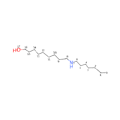 CCCCCCCNCCCCCCCCCO